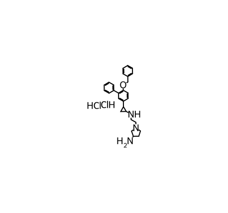 Cl.Cl.NC1CCN(CCNC2CC2c2ccc(OCc3ccccc3)c(-c3ccccc3)c2)C1